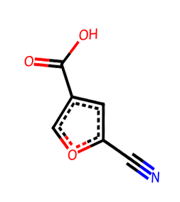 N#Cc1cc(C(=O)O)co1